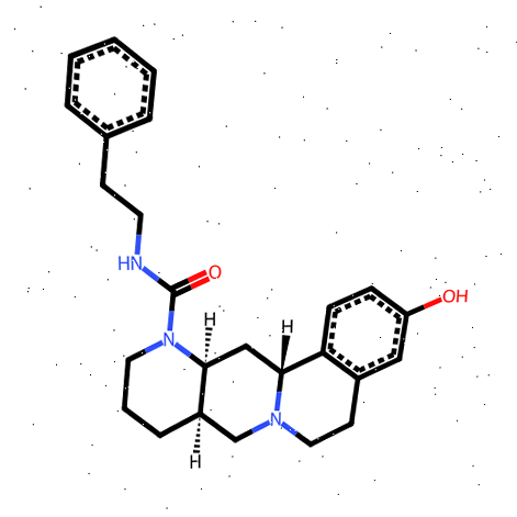 O=C(NCCc1ccccc1)N1CCC[C@@H]2CN3CCc4cc(O)ccc4[C@H]3C[C@@H]21